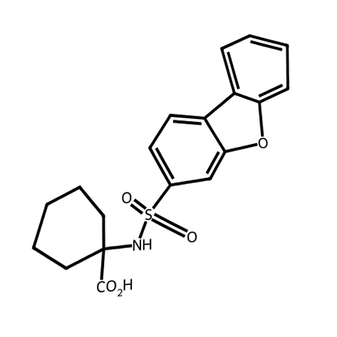 O=C(O)C1(NS(=O)(=O)c2ccc3c(c2)oc2ccccc23)CCCCC1